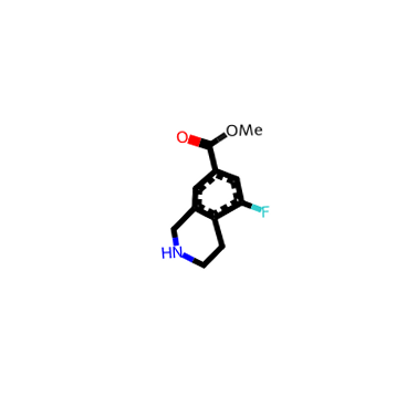 COC(=O)c1cc(F)c2c(c1)CNCC2